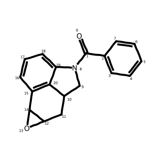 O=C(c1ccccc1)N1CC2CC3OC3c3cccc1c32